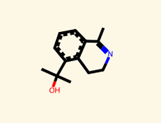 CC1=NCCc2c1cccc2C(C)(C)O